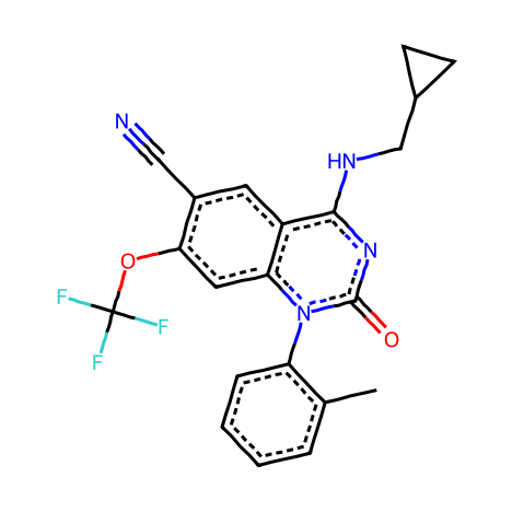 Cc1ccccc1-n1c(=O)nc(NCC2CC2)c2cc(C#N)c(OC(F)(F)F)cc21